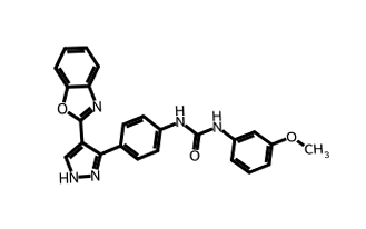 COc1cccc(NC(=O)Nc2ccc(-c3n[nH]cc3-c3nc4ccccc4o3)cc2)c1